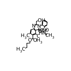 CCCCOC(=O)c1c(C)cc2nc(CO)n(-c3ccccc3S(=O)(=O)NC)c(=O)c2c1C